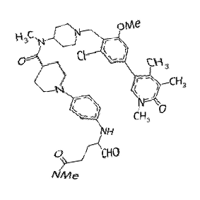 CNC(=O)CCC(C=O)Nc1ccc(N2CCC(C(=O)N(C)C3CCN(Cc4c(Cl)cc(-c5cn(C)c(=O)c(C)c5C)cc4OC)CC3)CC2)cc1